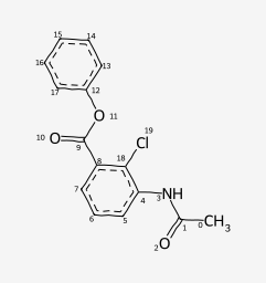 CC(=O)Nc1cccc(C(=O)Oc2ccccc2)c1Cl